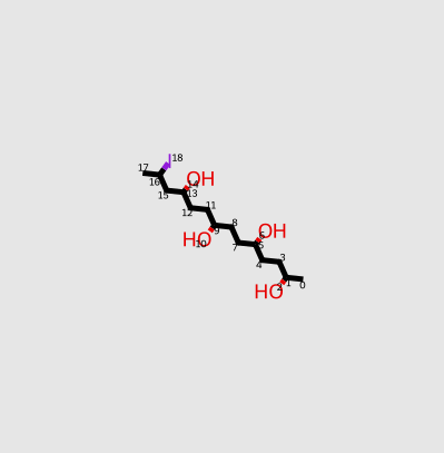 CC(O)CCC(O)CCC(O)CCC(O)CC(C)I